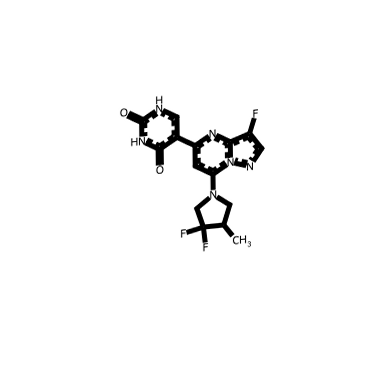 CC1CN(c2cc(-c3c[nH]c(=O)[nH]c3=O)nc3c(F)cnn23)CC1(F)F